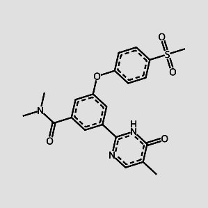 Cc1cnc(-c2cc(Oc3ccc(S(C)(=O)=O)cc3)cc(C(=O)N(C)C)c2)[nH]c1=O